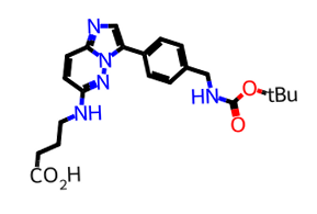 CC(C)(C)OC(=O)NCc1ccc(-c2cnc3ccc(NCCCC(=O)O)nn23)cc1